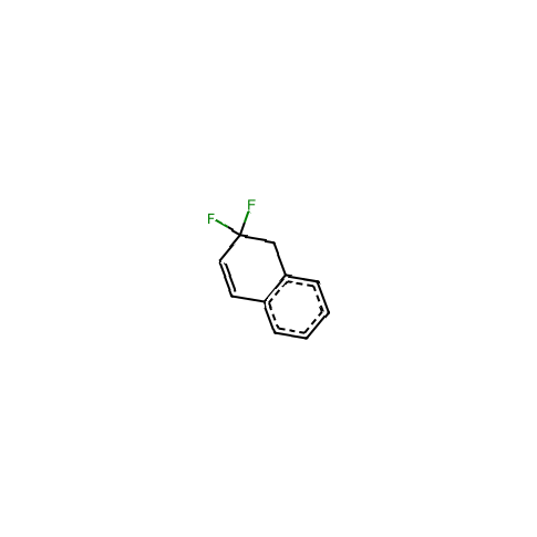 FC1(F)C=Cc2ccccc2C1